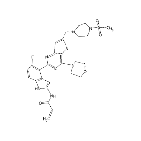 C=CC(=O)Nc1cc2c(-c3nc(N4CCOCC4)c4sc(CN5CCN(S(C)(=O)=O)CC5)cc4n3)c(F)ccc2[nH]1